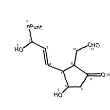 CCCCCC(O)C=CC1C(O)CC(=O)C1CC=O